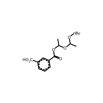 CCCCOC(C)OC(C)OC(=O)c1cccc(C(=O)O)c1